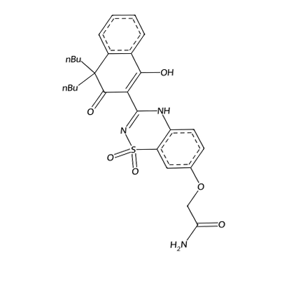 CCCCC1(CCCC)C(=O)C(C2=NS(=O)(=O)c3cc(OCC(N)=O)ccc3N2)=C(O)c2ccccc21